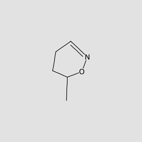 CC1CCC=NO1